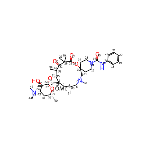 CO[C@]1(C)C[C@@H](C)CN(C)CC2(CCN(C(=O)Nc3ccccc3)CC2)OC(=O)C(C)(C)C(=O)[C@H](C)[C@H]1O[C@@H]1O[C@H](C)C[C@H](N(C)C)[C@H]1O